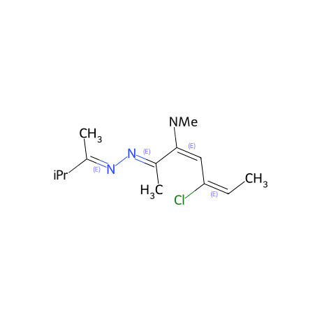 C\C=C(Cl)/C=C(NC)\C(C)=N\N=C(/C)C(C)C